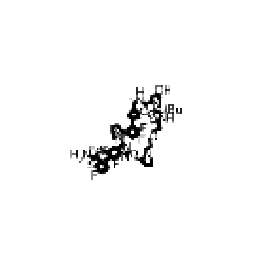 C[C@H](NC(=O)[C@@H]1C[C@@H](O)CN1C(=O)[C@@H](NC(=O)CCOCCCN1CCC[C@H]1COc1nc(N2CC3CCC(C2)N3)c2cc(C(F)(F)F)c(-c3ccc(F)c4sc(N)c(C#N)c34)c(F)c2n1)C(C)(C)C)c1ccc(-c2cccc(F)c2F)cc1